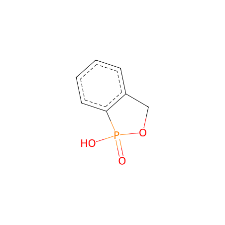 O=P1(O)OCc2ccccc21